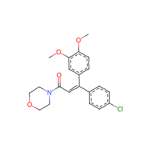 COc1ccc(/C(=C\C(=O)N2CCOCC2)c2ccc(Cl)cc2)cc1OC